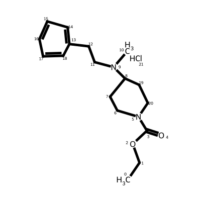 CCOC(=O)N1CCC(N(C)CCc2ccccc2)CC1.Cl